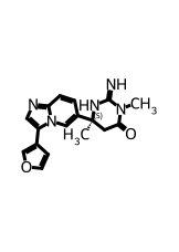 CN1C(=N)N[C@](C)(c2ccc3ncc(-c4ccoc4)n3c2)CC1=O